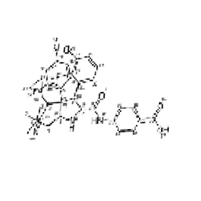 CC(C)(C)C[C@@H]1N[C@@H](C(=O)Nc2ccc(C(=O)O)cc2)[C@H](c2cccc(Cl)c2F)[C@]1(c1ccc(Cl)cc1F)C(C#N)C1CC1